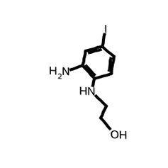 Nc1cc(I)ccc1NCCO